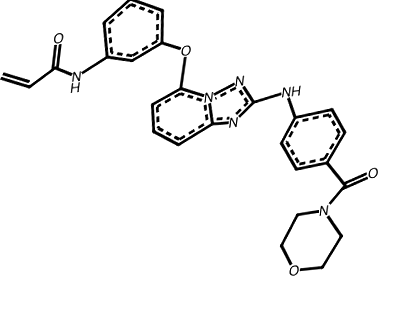 C=CC(=O)Nc1cccc(Oc2cccc3nc(Nc4ccc(C(=O)N5CCOCC5)cc4)nn23)c1